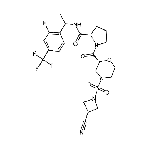 CC(NC(=O)[C@H]1CCCN1C(=O)[C@@H]1CN(S(=O)(=O)N2CC(C#N)C2)CCO1)c1ccc(C(F)(F)F)cc1F